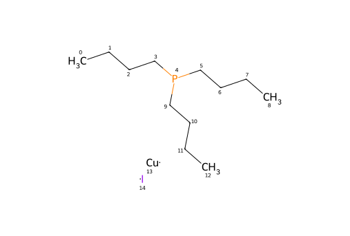 CCCCP(CCCC)CCCC.[Cu].[I]